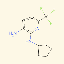 Nc1ccc(C(F)(F)F)nc1NC1CCCC1